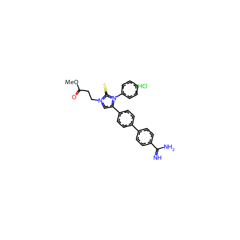 COC(=O)CCn1cc(-c2ccc(-c3ccc(C(=N)N)cc3)cc2)n(-c2ccccc2)c1=S.Cl